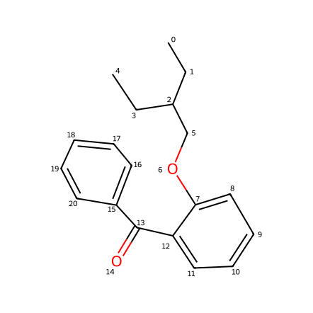 CCC(CC)COc1ccccc1C(=O)c1ccccc1